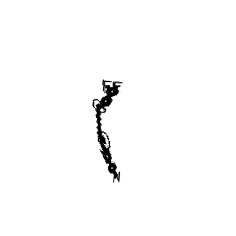 N#Cc1ccc(-c2ccc(SC(=O)CCCCCCCCCC(=O)Sc3ccc(-c4ccc(F)c(F)c4)cc3)cc2)cc1